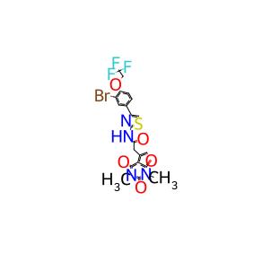 Cn1c(=O)c2c(CC(=O)Nc3nc(-c4ccc(OCC(F)(F)F)c(Br)c4)cs3)coc2n(C)c1=O